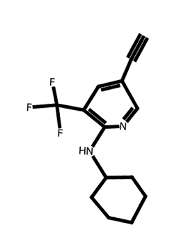 C#Cc1cnc(NC2CCCCC2)c(C(F)(F)F)c1